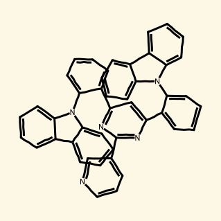 c1cncc(-c2nc(-c3ccccc3-n3c4ccccc4c4ccccc43)cc(-c3ccccc3-n3c4ccccc4c4ccccc43)n2)c1